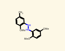 COc1ccc(OC)c(NNc2cc(C)ccc2OC)c1